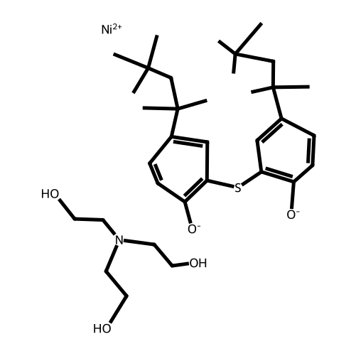 CC(C)(C)CC(C)(C)c1ccc([O-])c(Sc2cc(C(C)(C)CC(C)(C)C)ccc2[O-])c1.OCCN(CCO)CCO.[Ni+2]